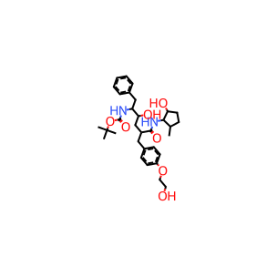 CC1CCC(O)C1NC(=O)C(Cc1ccc(OCCO)cc1)CC(O)C(Cc1ccccc1)NC(=O)OC(C)(C)C